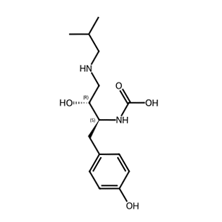 CC(C)CNC[C@@H](O)[C@H](Cc1ccc(O)cc1)NC(=O)O